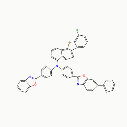 Brc1cccc2c1sc1c3cccc(N(c4ccc(-c5nc6ccccc6o5)cc4)c4ccc(-c5nc6ccc(-c7ccccc7)cc6o5)cc4)c3ccc21